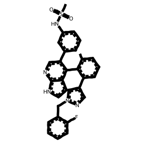 Cc1cccc(-c2cnn(Cc3ccccc3F)c2)c1-c1c(-c2cccc(NS(C)(=O)=O)c2)cnc2[nH]ccc12